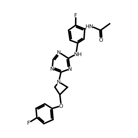 CC(=O)Nc1cc(Nc2ncnc(N3CC(Oc4ccc(F)cc4)C3)n2)ccc1F